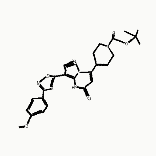 COc1ccc(-c2noc(-c3cnn4c(C5CCN(C(=O)OC(C)(C)C)CC5)cc(=O)[nH]c34)n2)cc1